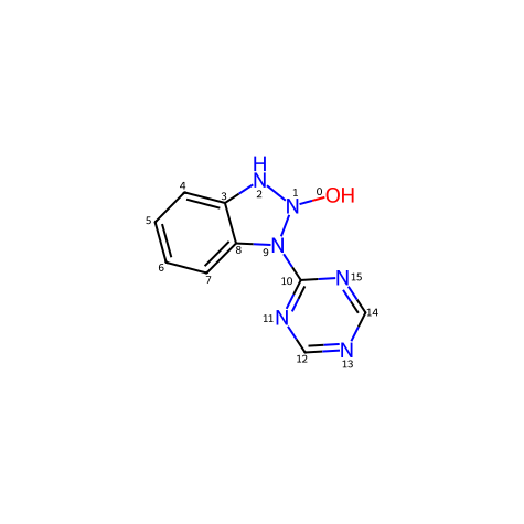 ON1Nc2ccccc2N1c1ncncn1